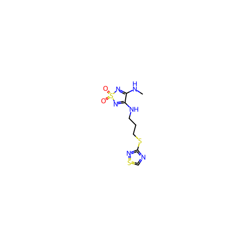 CNC1=NS(=O)(=O)N=C1NCCCSc1ncsn1